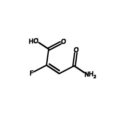 NC(=O)/C=C(/F)C(=O)O